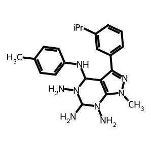 Cc1ccc(NC2c3c(-c4cccc(C(C)C)c4)nn(C)c3N(N)C(N)N2N)cc1